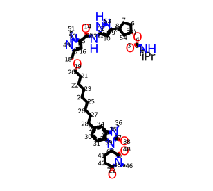 CC(C)NC(=O)O[C@@H]1CC[C@H](c2cc(NC(=O)c3cc(COCCCCCCCCCc4ccc5c(c4)n(C)c(=O)n5C4CCC(=O)N(C)C4=O)nn3C)[nH]n2)C1